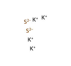 [K+].[K+].[K+].[K+].[S-2].[S-2]